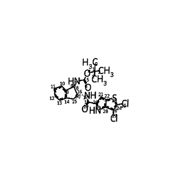 CC(C)(C)OC(=O)N[C@@H]1c2ccccc2C[C@H]1NC(=O)c1cc2sc(Cl)c(Cl)c2[nH]1